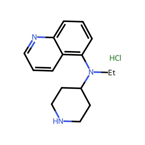 CCN(c1cccc2ncccc12)C1CCNCC1.Cl